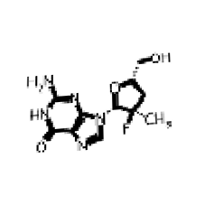 C[C@@]1(F)C[C@@H](CO)O[C@H]1n1cnc2c(=O)[nH]c(N)nc21